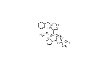 CO[C@H]([C@@H](C)C(=O)N[C@@H](CO)Cc1ccccc1)[C@@H]1CCCN1C(=O)OC(C)(C)C